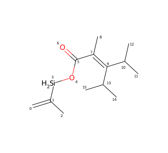 C=C(C)[SiH2]OC(=O)C(C)=C(C(C)C)C(C)C